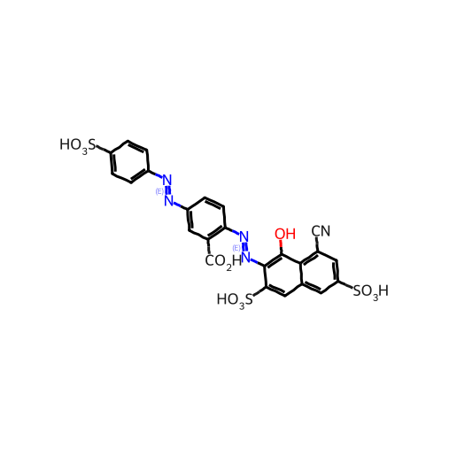 N#Cc1cc(S(=O)(=O)O)cc2cc(S(=O)(=O)O)c(/N=N/c3ccc(/N=N/c4ccc(S(=O)(=O)O)cc4)cc3C(=O)O)c(O)c12